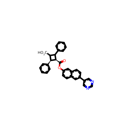 O=C(O)C1C(c2ccccc2)[C@@H](C(=O)Oc2ccc3cc(-c4cncnc4)ccc3c2)[C@H]1c1ccccc1